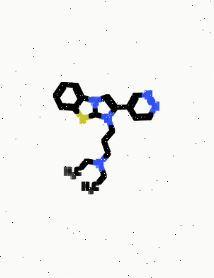 CCN(CC)CCCN1C(c2ccnnc2)=CN2c3ccccc3SC12